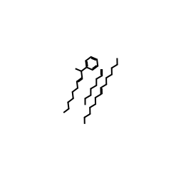 C=CCCCCCC.CCCCCCC=CC(C)c1ccccc1.CCCCCCC=CCCCCCC